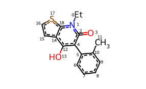 CCn1c(=O)c(-c2ccccc2C)c(O)c2ccsc21